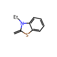 C=C1Sc2ccccc2N1CC